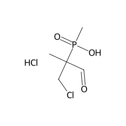 CC(C=O)(CCl)P(C)(=O)O.Cl